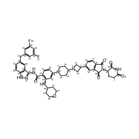 O=C1CCC(N2C(=O)c3ccc(C4CN(C5CCN(c6ccc(C(=O)Nc7n[nH]c8ccc(Cc9cc(F)cc(F)c9)cc78)c(NC7CCOCC7)c6)CC5)C4)cc3C2=O)C(=O)N1